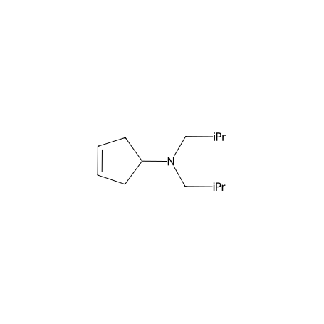 CC(C)CN(CC(C)C)C1CC=CC1